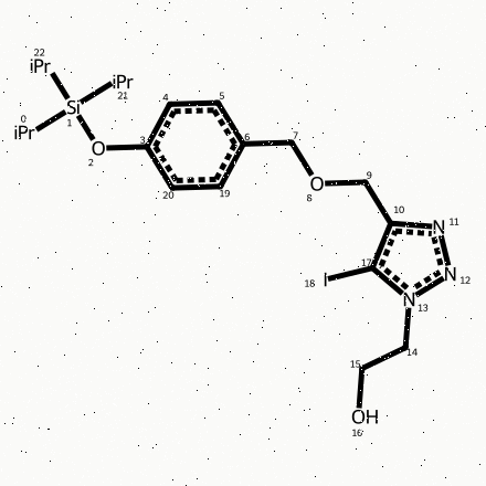 CC(C)[Si](Oc1ccc(COCc2nnn(CCO)c2I)cc1)(C(C)C)C(C)C